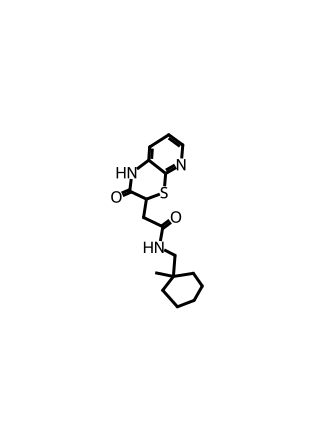 CC1(CNC(=O)CC2Sc3ncccc3NC2=O)CCCCC1